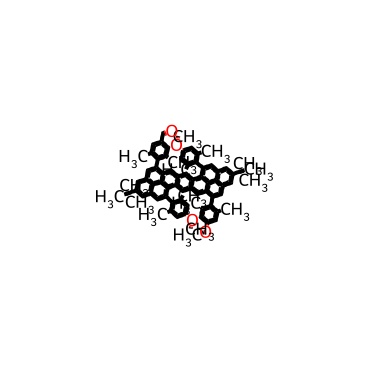 COc1cc(C)c(-c2cc3cc(C(C)(C)C)cc4cc(-c5c(C)cc(OC)cc5C)c5c6cc7cc8c(-c9c(C)cc(C=O)cc9C)cc9cc(C(C)(C)C)cc%10cc(-c%11c(C)cc(OC)cc%11C)c(c7cc6cc2c5c34)c8c9%10)c(C)c1